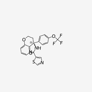 O=C(N[C@]1(c2ccc(OC(F)(F)F)cc2)CCOc2cccnc21)c1cncs1